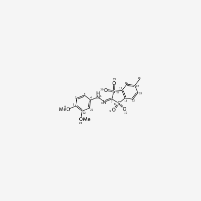 COc1ccc(N/N=C2/S(=O)(=O)c3ccc(C)cc3S2(=O)=O)cc1OC